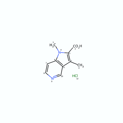 Cc1c(C(=O)O)n(C)c2ccncc12.Cl